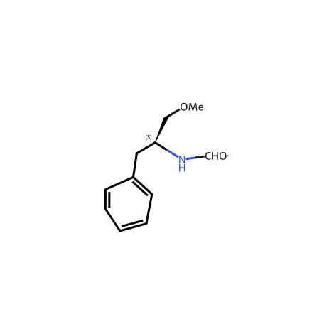 COC[C@H](Cc1ccccc1)N[C]=O